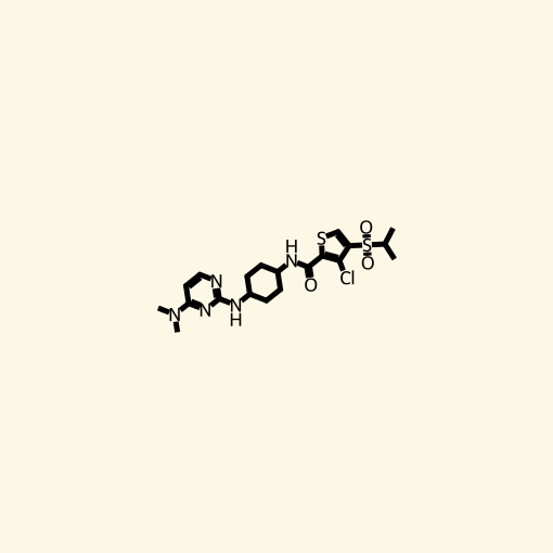 CC(C)S(=O)(=O)c1csc(C(=O)NC2CCC(Nc3nccc(N(C)C)n3)CC2)c1Cl